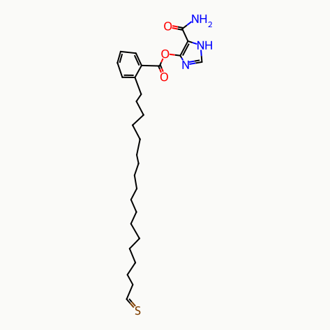 NC(=O)c1[nH]cnc1OC(=O)c1ccccc1CCCCCCCCCCCCCCCCCC=S